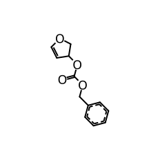 O=C(OCc1ccccc1)OC1C=COC1